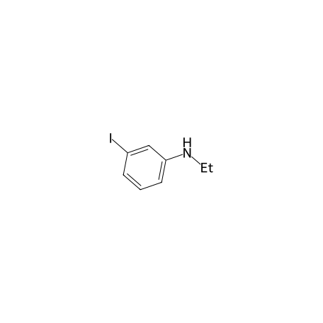 CCNc1cccc(I)c1